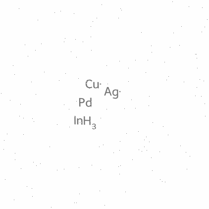 [Ag].[Cu].[InH3].[Pd]